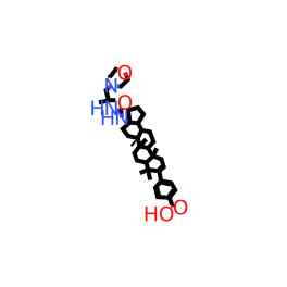 CC(C)(CN1CCOCC1)NC(=O)NC12CCCC1C1CCC3C4(C)CC=C(c5ccc(C(=O)O)cc5)C(C)(C)C4CCC3(C)[C@]1(C)CC2